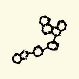 c1cc(-c2ccc(-c3nc4ccccc4s3)cc2)cc(-c2nc3ccccc3c3c2ccc2ccccc23)c1